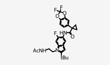 CC(=O)NCCn1c(C(C)(C)C)cc2cc(NC(=O)C3(c4ccc5c(c4)OC(F)(F)O5)CC3)c(F)cc21